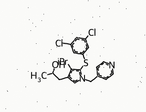 CC(O)Cc1cn(Cc2ccncc2)c(Sc2cc(Cl)cc(Cl)c2)c1C(C)C